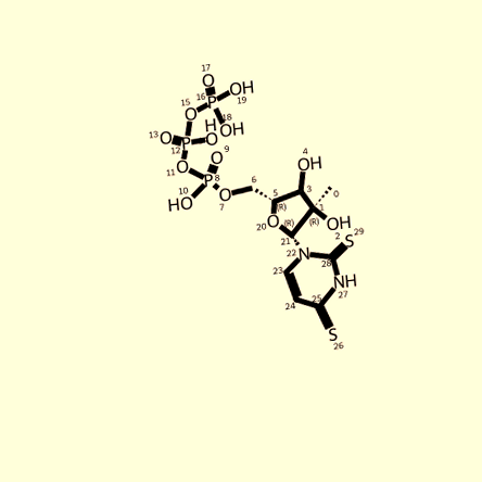 C[C@@]1(O)C(O)[C@@H](COP(=O)(O)OP(=O)(O)OP(=O)(O)O)O[C@H]1n1ccc(=S)[nH]c1=S